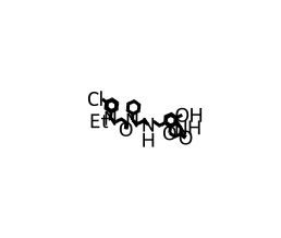 CCN(CCC(=O)N(CCNCCc1ccc(O)c2c1OCC(=O)N2)C1CCCCC1)c1cccc(Cl)c1